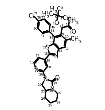 CC(=O)[C@@H](OC(C)(C)C)c1c(C)cc2nc(-c3ccnc(N4CC5CCCCN5C4=O)c3)sc2c1-c1ccc(Cl)cc1